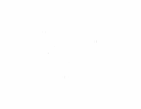 C=CCc1cc(C=O)ccc1OC(C)C